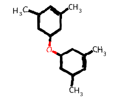 CC1=CC(C)CC(OC2CC(C)=CC(C)C2)C1